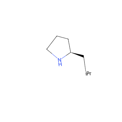 CC(C)C[C@@H]1CCCN1